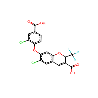 O=C(O)C1=Cc2cc(Cl)c(Oc3ccc(C(=O)O)cc3Cl)cc2OC1C(F)(F)F